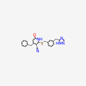 N#Cc1c(Cc2ccccc2)cc(=O)[nH]c1SCc1cccc(Cc2ncn[nH]2)c1